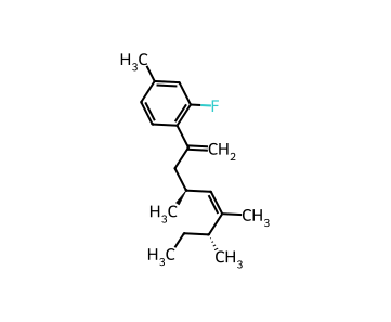 C=C(C[C@H](C)/C=C(/C)[C@H](C)CC)c1ccc(C)cc1F